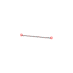 O=CCCCCCCCCCCCCCCCCCCCCCCCCCCCCCCCCCC=O